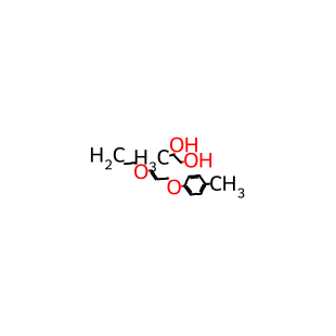 C=CCOC=CCOc1ccc(C)cc1.CC(O)CO